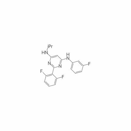 CC(C)Nc1cc(Nc2cccc(F)c2)nc(-c2c(F)cccc2F)n1